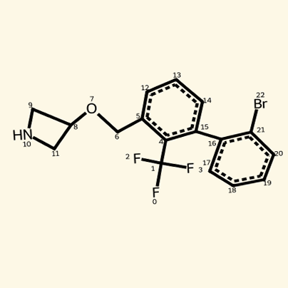 FC(F)(F)c1c(COC2CNC2)cccc1-c1ccccc1Br